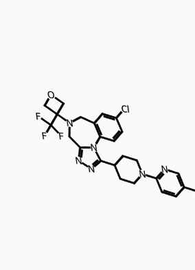 Fc1ccc(N2CCC(c3nnc4n3-c3ccc(Cl)cc3CN(C3(C(F)(F)F)COC3)C4)CC2)nc1